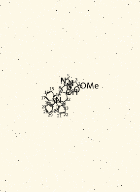 COC(=O)Cn1cnc(/C=C2/CN(C(c3ccccc3)(c3ccccc3)c3ccccc3)CCC2O)n1